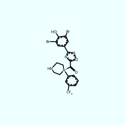 O=C(c1nc(-c2cc(Br)c(O)c(Br)c2)no1)[N+]1(c2cccc(C(F)(F)F)c2)CCNCC1